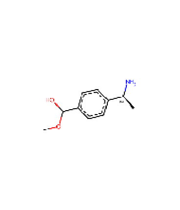 COC(O)c1ccc([C@H](C)N)cc1